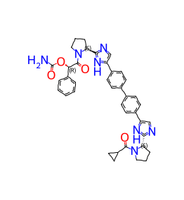 NC(=O)O[C@@H](C(=O)N1CCC[C@H]1c1ncc(-c2ccc(-c3ccc(-c4cnc([C@@H]5CCCN5C(=O)C5CC5)[nH]4)cc3)cc2)[nH]1)c1ccccc1